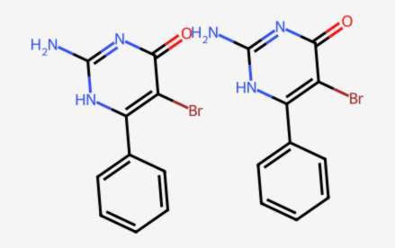 Nc1nc(=O)c(Br)c(-c2ccccc2)[nH]1.Nc1nc(=O)c(Br)c(-c2ccccc2)[nH]1